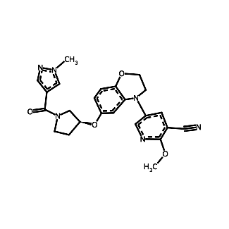 COc1ncc(N2CCOc3ccc(O[C@H]4CCN(C(=O)c5cnn(C)c5)C4)cc32)cc1C#N